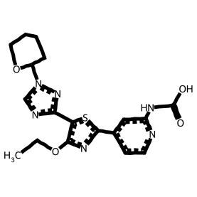 CCOc1nc(-c2ccnc(NC(=O)O)c2)sc1-c1ncn(C2CCCCO2)n1